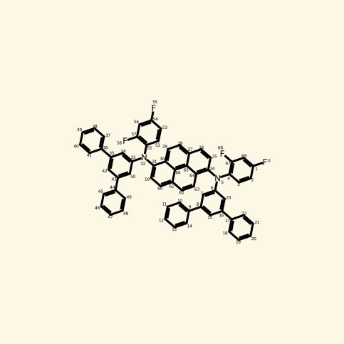 Fc1ccc(N(c2cc(-c3ccccc3)cc(-c3ccccc3)c2)c2ccc3ccc4c(N(c5cc(-c6ccccc6)cc(-c6ccccc6)c5)c5ccc(F)cc5F)ccc5ccc2c3c54)c(F)c1